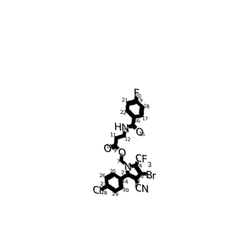 N#Cc1c(Br)c(C(F)(F)F)n(COC(=O)CCNC(=O)c2ccc(F)cc2)c1-c1ccc(Cl)cc1